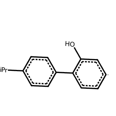 CC(C)c1ccc(-c2cc[c]cc2O)cc1